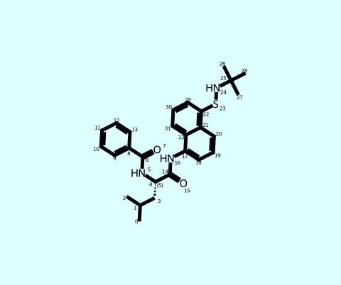 CC(C)C[C@H](NC(=O)c1ccccc1)C(=O)Nc1cccc2c(SNC(C)(C)C)cccc12